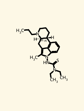 CCCN1CCC[C@@H]2c3cccc4c3c(c(C)n4NC(=S)N(CC)CC)C[C@H]21